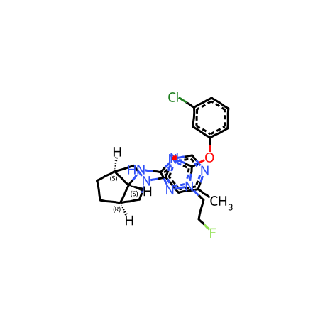 Cc1cc(N2C[C@H]3CC[C@@H](C2)[C@@H]3Nc2nc(Oc3cccc(Cl)c3)n(CCF)n2)ncn1